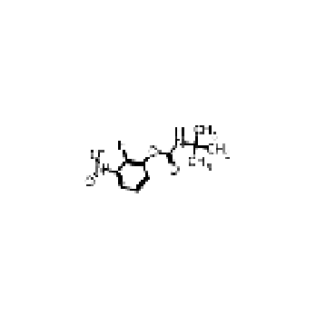 CC(C)(C)NC(=O)Oc1cccc([N+](=O)[O-])c1F